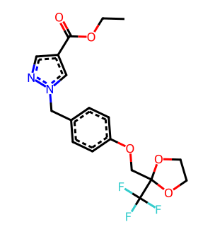 CCOC(=O)c1cnn(Cc2ccc(OCC3(C(F)(F)F)OCCO3)cc2)c1